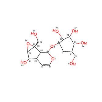 OCC1CC(OC2OC=CC3C(O)C4O[C@]4(CO)C23)C(O)C(O)C1O